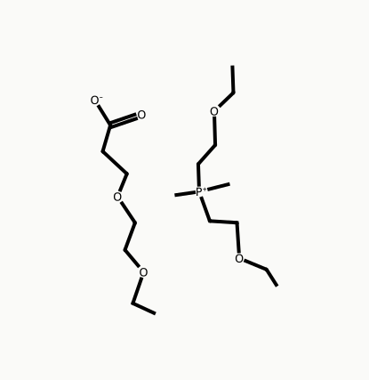 CCOCCOCCC(=O)[O-].CCOCC[P+](C)(C)CCOCC